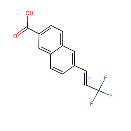 O=C(O)c1ccc2cc(/C=C/C(F)(F)F)ccc2c1